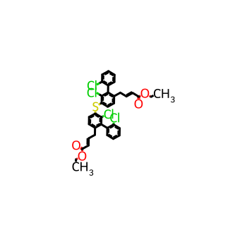 CCOC(=O)/C=C/Cc1ccc(Sc2ccc(C/C=C/C(=O)OCC)c(-c3ccccc3Cl)c2Cl)c(Cl)c1-c1ccccc1Cl